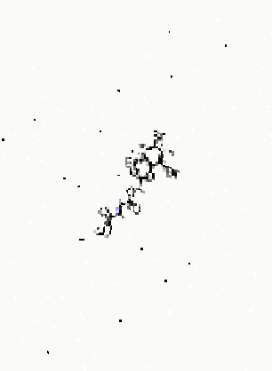 COC(=O)/C=C/C(=O)OCC(=O)Oc1c(Br)cc(Br)cc1Br